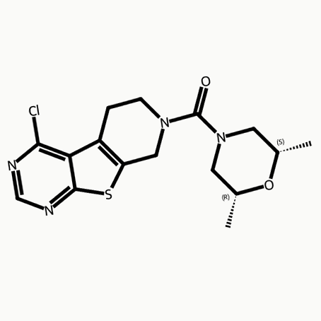 C[C@@H]1CN(C(=O)N2CCc3c(sc4ncnc(Cl)c34)C2)C[C@H](C)O1